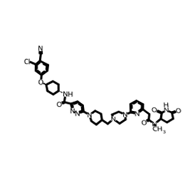 CN(C(=O)Cc1cccc(N2CCN(CC3CCN(c4ccc(C(=O)N[C@H]5CC[C@H](Oc6ccc(C#N)c(Cl)c6)CC5)nn4)CC3)CC2)n1)C1CCC(=O)NC1=O